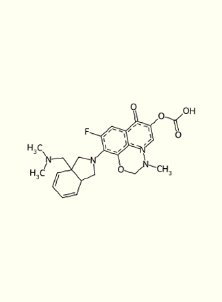 CN(C)CC12C=CC=CC1CN(c1c(F)cc3c(=O)c(OC(=O)O)cn4c3c1OCN4C)C2